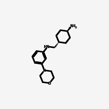 N[C@H]1CC[C@H](CNc2cccc(N3CCOCC3)c2)CC1